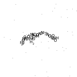 Cc1cc(C(=O)Nc2cc(C(F)(F)F)ccn2)ccc1-c1nn2c(c1C(N)=O)Nc1ccc(N3CCN(CC4CCN(c5ccc(N6CCC(=O)NC6=O)cc5)CC4)CC3)cc1CC2